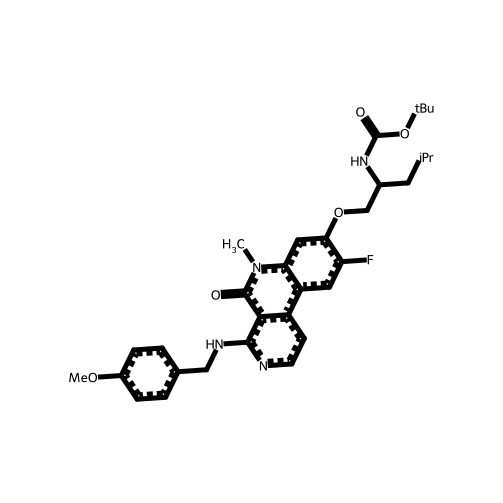 COc1ccc(CNc2nccc3c2c(=O)n(C)c2cc(OCC(CC(C)C)NC(=O)OC(C)(C)C)c(F)cc32)cc1